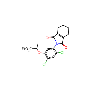 CCOC(=O)C(C)Oc1cc(N2C(=O)C3=C(CCCC3)C2=O)c(Cl)cc1Cl